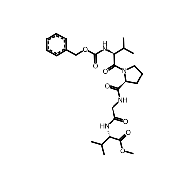 COC(=O)[C@@H](NC(=O)CNC(=O)[C@@H]1CCCN1C(=O)[C@@H](NC(=O)OCc1ccccc1)C(C)C)C(C)C